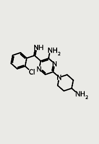 N=C(c1ccccc1Cl)c1ncc(N2CCC(N)CC2)nc1N